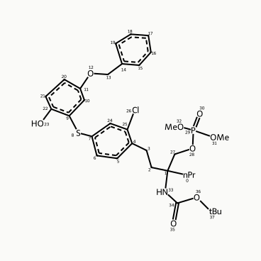 CCCC(CCc1ccc(Sc2cc(OCc3ccccc3)ccc2O)cc1Cl)(COP(=O)(OC)OC)NC(=O)OC(C)(C)C